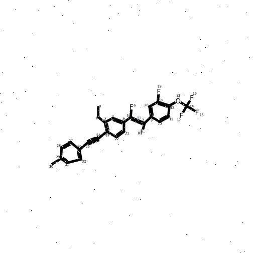 CCc1cc(/C(F)=C(\F)c2ccc(OC(F)(F)F)c(F)c2)ccc1C#Cc1ccc(C)cc1